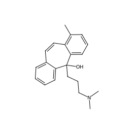 Cc1cccc2c1C=Cc1ccccc1C2(O)CCCN(C)C